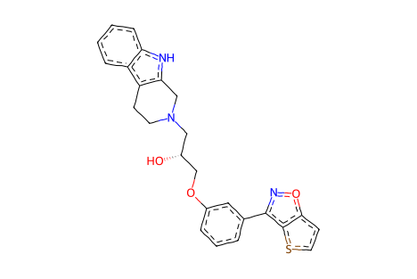 O[C@@H](COc1cccc(-c2noc3ccsc23)c1)CN1CCc2c([nH]c3ccccc23)C1